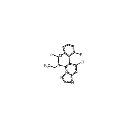 CC(C)CN(CC(F)(F)F)c1c(-c2c(F)cccc2Cl)c(Cl)nc2ncnn12